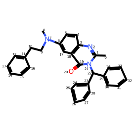 Cc1nc2ccc(N(C)CCc3ccccc3)cc2c(=O)n1C(c1ccccc1)c1ccccc1